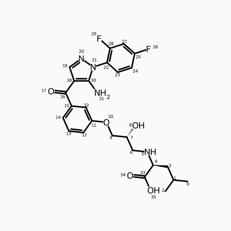 CC(C)C[C@H](NC[C@@H](O)COc1cccc(C(=O)c2cnn(-c3ccc(F)cc3F)c2N)c1)C(=O)O